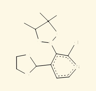 CC1OB(c2c(C3OCCO3)ccnc2Cl)OC1(C)C